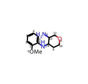 COc1ccccc1NC1CCO[CH]C1N